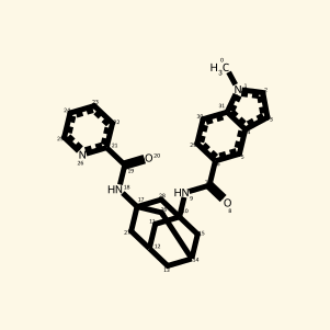 Cn1ccc2cc(C(=O)NC34CC5CC(C3)CC(NC(=O)c3ccccn3)(C5)C4)ccc21